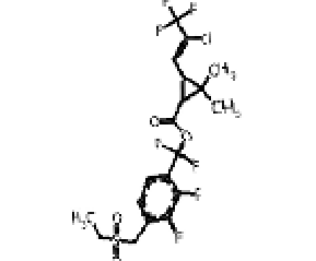 CCS(=O)(=O)Cc1ccc(C(F)(F)OC(=O)C2C(C=C(Cl)C(F)(F)F)C2(C)C)c(F)c1F